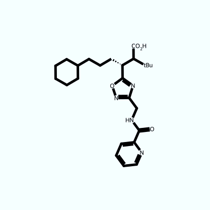 CC(C)(C)C(C(=O)O)[C@@H](CCCC1CCCCC1)c1nc(CNC(=O)c2ccccn2)no1